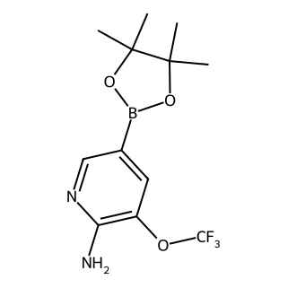 CC1(C)OB(c2cnc(N)c(OC(F)(F)F)c2)OC1(C)C